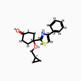 O=C1CCC(OCC2CC2)(c2nc(-c3ccccc3)cs2)CC1